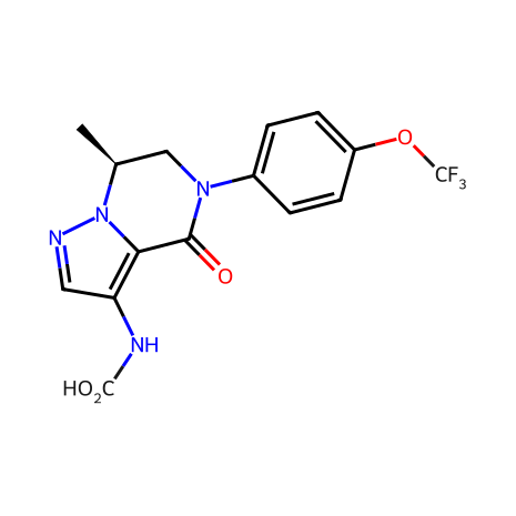 C[C@H]1CN(c2ccc(OC(F)(F)F)cc2)C(=O)c2c(NC(=O)O)cnn21